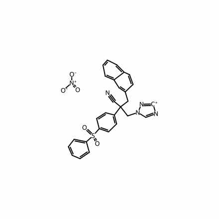 N#CC(Cc1ccc2ccccc2c1)(CN1C=N[C+]=N1)c1ccc(S(=O)(=O)c2ccccc2)cc1.O=[N+]([O-])[O-]